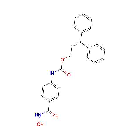 O=C(Nc1ccc(C(=O)NO)cc1)OCCC(c1ccccc1)c1ccccc1